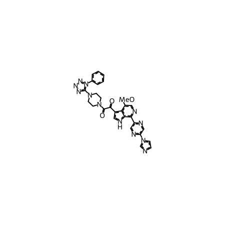 COc1cnc(-c2cnc(-n3ccnc3)cn2)c2[nH]cc(C(=O)C(=O)N3CCN(c4nnnn4-c4ccccc4)CC3)c12